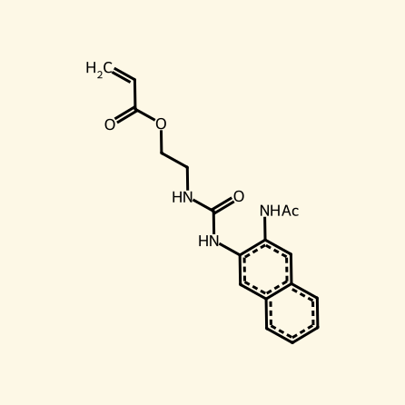 C=CC(=O)OCCNC(=O)Nc1cc2ccccc2cc1NC(C)=O